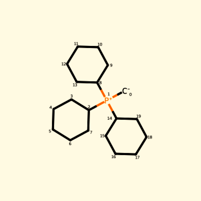 [CH2-][P+](C1CCCCC1)(C1CCCCC1)C1CCCCC1